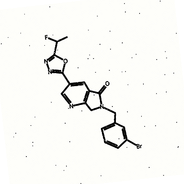 CC(F)c1nnc(-c2cnc3c(c2)C(=O)N(Cc2cccc(Br)c2)C3)o1